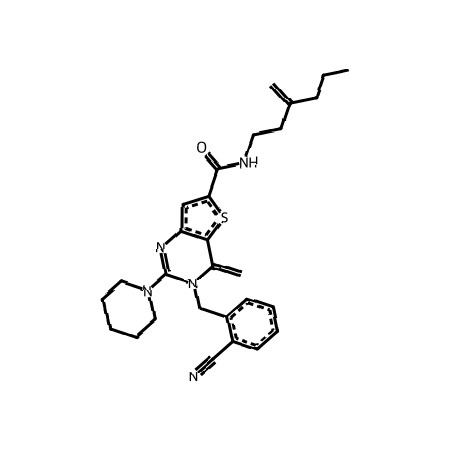 C=C(CCC)CCNC(=O)c1cc2c(s1)C(=C)N(Cc1ccccc1C#N)C(N1CCCCC1)=N2